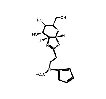 O=C(O)N(CCC1=N[C@@H]2[C@@H](O)[C@H](O)[C@@H](CO)O[C@@H]2S1)c1ccccc1